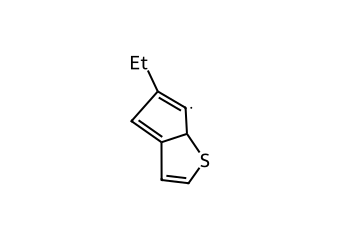 CCC1=[C]C2SC=CC2=C1